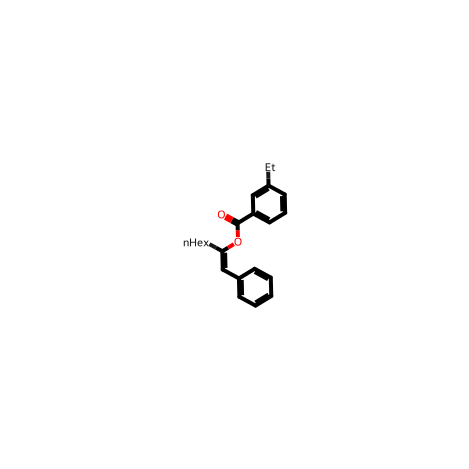 CCCCCCC(=Cc1ccccc1)OC(=O)c1cccc(CC)c1